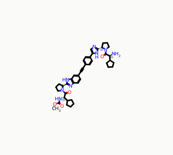 COC(=O)N[C@H](C(=O)N1CCC[C@H]1c1nc2ccc(C#Cc3ccc(-c4cnc([C@@H]5CCCN5C(=O)[C@@H](N)C5CCCC5)[nH]4)cc3)cc2[nH]1)C1CCCC1